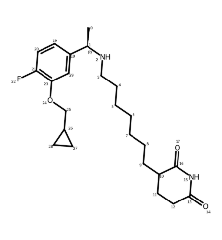 C[C@@H](NCCCCCCCC1CCC(=O)NC1=O)c1ccc(F)c(OCC2CC2)c1